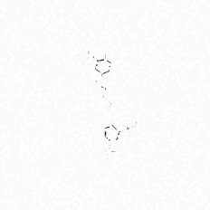 CCC(C)(C)c1ccc(OCCCC(=O)Nc2ccc(Cl)c(N)c2)c(C(C)(C)CC)c1